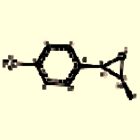 C[C@@H]1O[C@@H]1c1ccc(C(F)(F)F)cc1